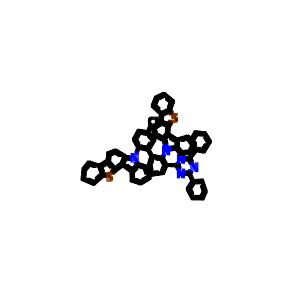 N#Cc1ccc(-n2c3ccccc3c3c4sc5ccccc5c4ccc32)c(-c2cccc(-c3nc(-c4ccccc4)nc(-c4ccccc4)n3)c2-n2c3ccccc3c3c4sc5ccccc5c4ccc32)c1